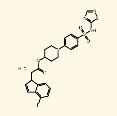 C[C@H](C(=O)NC1CCN(c2ccc(S(=O)(=O)Nc3ncns3)cc2)CC1)C1C=Cc2c(F)cccc21